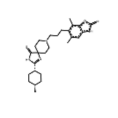 Cc1cc2[nH]c(=O)oc2c(C)c1CCCN1CCC2(CC1)N=C([C@H]1CC[C@H](C)CC1)NC2=O